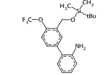 CC(C)(C)[Si](C)(C)OCc1cc(-c2ccccc2N)ccc1OC(F)(F)F